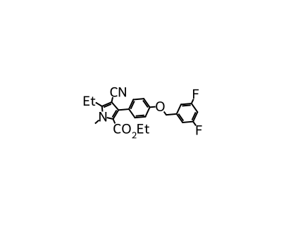 CCOC(=O)c1c(-c2ccc(OCc3cc(F)cc(F)c3)cc2)c(C#N)c(CC)n1C